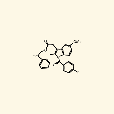 COc1ccc2c(c1)c(CC(=O)OCC(C)c1ccccc1)c(C)n2C(=O)c1ccc(Cl)cc1